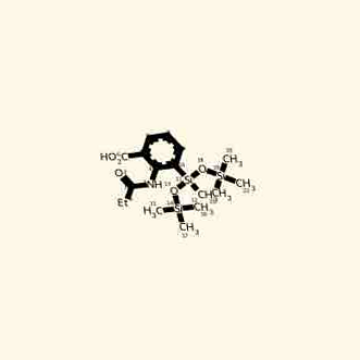 CCC(=O)Nc1c(C(=O)O)cccc1[Si](C)(O[Si](C)(C)C)O[Si](C)(C)C